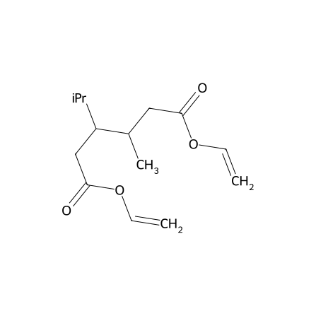 C=COC(=O)CC(C)C(CC(=O)OC=C)C(C)C